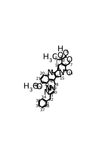 CC[C@@]1(O)C(=O)OCc2c1cc1n(c2=O)Cc2c-1nc1ccc(OC)cc1c2Cn1cc(Cc2ccccc2)nn1